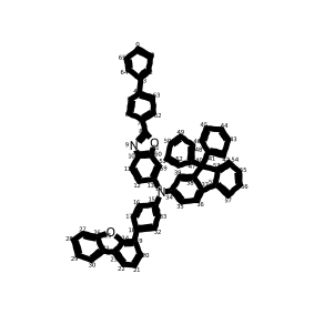 c1ccc(-c2ccc(-c3nc4ccc(N(c5ccc(-c6cccc7c6oc6ccccc67)cc5)c5ccc6c(c5)C(c5ccccc5)(c5ccccc5)c5ccccc5-6)cc4o3)cc2)cc1